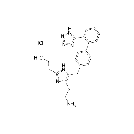 CCCc1nc(CCN)c(Cc2ccc(-c3ccccc3-c3nnn[nH]3)cc2)[nH]1.Cl